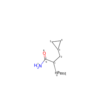 CCCCCC(CC1CC1)C(N)=O